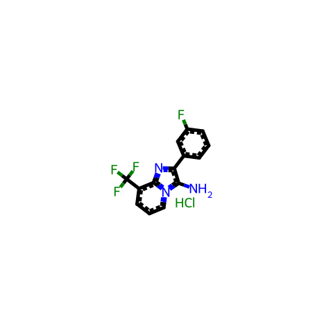 Cl.Nc1c(-c2cccc(F)c2)nc2c(C(F)(F)F)cccn12